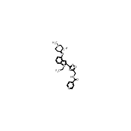 CN1CC/C(=N\c2cccc3c2cc(-c2noc(CNC(=O)c4ccncc4)n2)n3CC(F)(F)F)[C@@H](F)C1